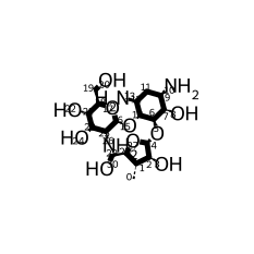 C[C@H]1[C@@H](O)[C@H](O[C@@H]2[C@@H](O)[C@H](N)C[C@H](N)[C@H]2O[C@H]2O[C@H](CO)[C@@H](O)[C@H](O)[C@H]2N)O[C@@H]1CO